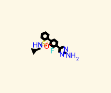 Nc1ncc(-c2ccc(-c3ccccc3[S+]([O-])NCC3CC3)cc2F)cn1